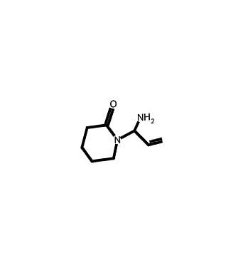 C=CC(N)N1CCCCC1=O